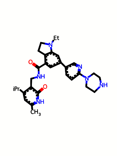 CCN1CCc2c(C(=O)NCc3c(C(C)C)cc(C)[nH]c3=O)cc(-c3ccc(N4CCNCC4)nc3)cc21